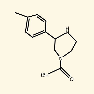 Cc1ccc(C2CN(C(=O)C(C)(C)C)CCN2)cc1